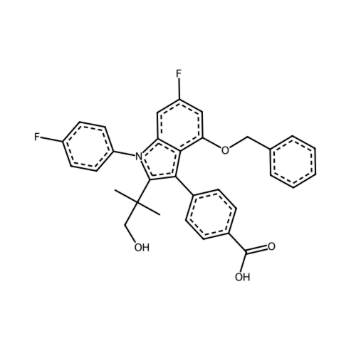 CC(C)(CO)c1c(-c2ccc(C(=O)O)cc2)c2c(OCc3ccccc3)cc(F)cc2n1-c1ccc(F)cc1